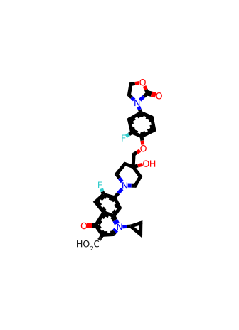 O=C(O)c1cn(C2CC2)c2cc(N3CCC(O)(COc4ccc(N5CCOC5=O)cc4F)CC3)c(F)cc2c1=O